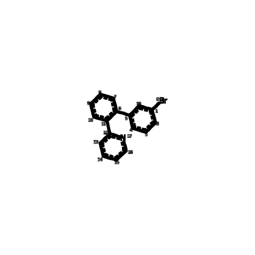 Brc1cccc(-c2ccccc2-c2ccccn2)c1